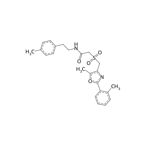 Cc1ccc(CCNC(=O)CS(=O)(=O)Cc2nc(-c3ccccc3C)oc2C)cc1